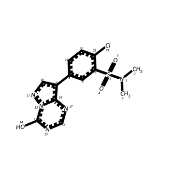 CN(C)S(=O)(=O)c1cc(-c2cnn3c(O)ncnc23)ccc1Cl